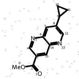 COC(=O)c1cnc2cc(C3CC3)cnc2c1